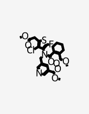 COC(=O)Cc1sc(F)c(N(Cc2cncc(C(=O)OC)c2)C(=O)C2=C(C(=O)OC)CCCC2)c1Cl